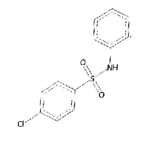 O=S(=O)(Nc1[c]cccc1)c1ccc(Cl)cc1